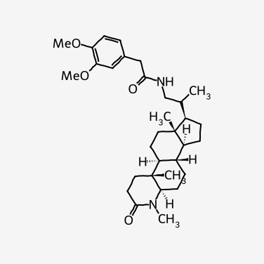 COc1ccc(CC(=O)NCC(C)[C@H]2CC[C@H]3[C@@H]4CC[C@H]5N(C)C(=O)CC[C@]5(C)[C@H]4CC[C@]23C)cc1OC